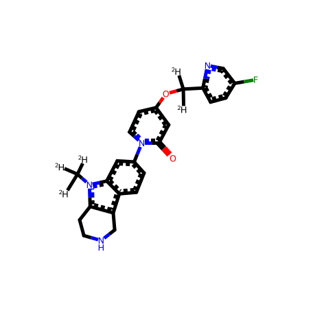 [2H]C([2H])(Oc1ccn(-c2ccc3c4c(n(C([2H])([2H])[2H])c3c2)CCNC4)c(=O)c1)c1ccc(F)cn1